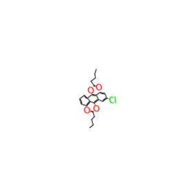 CCCCC(=O)Oc1c2ccccc2c(OC(=O)CCCC)c2cc(Cl)ccc12